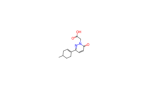 CC1CC=C(c2ccc(=O)n(CC(=O)O)n2)CC1